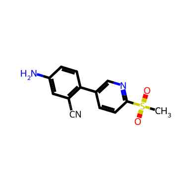 CS(=O)(=O)c1ccc(-c2ccc(N)cc2C#N)cn1